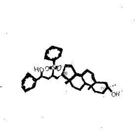 CC12CC[C@](C)(O)CC1=CCC1C2CCC2(C)C1CC[C@@H]2CC(CC(O)c1ccccc1)S(=O)(=O)c1ccccc1